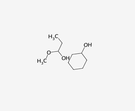 CCC(O)OC.OC1CCCCC1